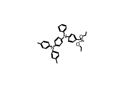 CCO[Si](C)(OCC)c1ccc(N(c2ccccc2)c2ccc(N(c3ccc(C)cc3)c3ccc(C)cc3)cc2)cc1